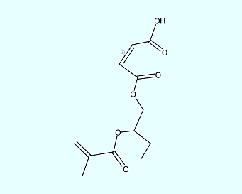 C=C(C)C(=O)OC(CC)COC(=O)/C=C\C(=O)O